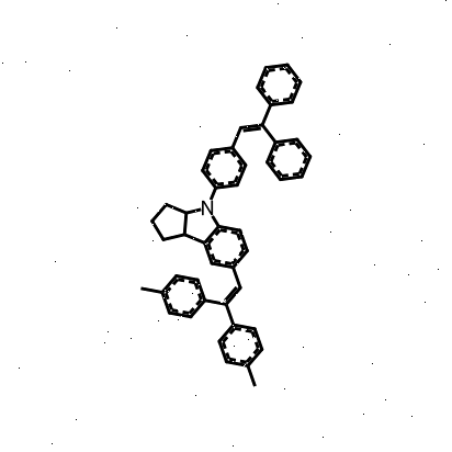 Cc1ccc(C(=Cc2ccc3c(c2)C2CCCC2N3c2ccc(C=C(c3ccccc3)c3ccccc3)cc2)c2ccc(C)cc2)cc1